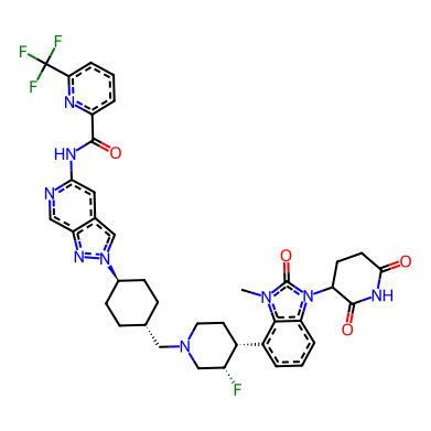 Cn1c(=O)n(C2CCC(=O)NC2=O)c2cccc([C@H]3CCN(C[C@H]4CC[C@H](n5cc6cc(NC(=O)c7cccc(C(F)(F)F)n7)ncc6n5)CC4)C[C@H]3F)c21